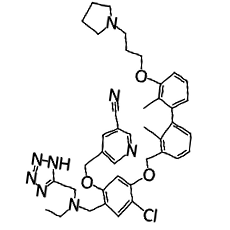 CCN(Cc1nnn[nH]1)Cc1cc(Cl)c(OCc2cccc(-c3cccc(OCCCN4CCCC4)c3C)c2C)cc1OCc1cncc(C#N)c1